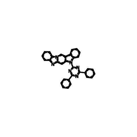 c1ccc(-c2nc(-c3ccccc3)nc(-n3c4ccccc4c4cn5c(cc43)nc3ccccc35)n2)cc1